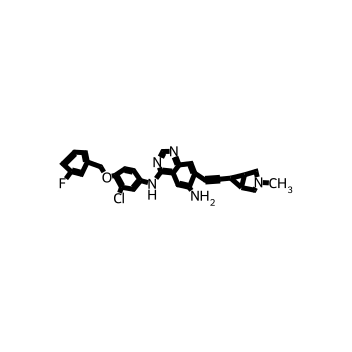 CN1CC2C(C#Cc3cc4ncnc(Nc5ccc(OCc6cccc(F)c6)c(Cl)c5)c4cc3N)C2C1